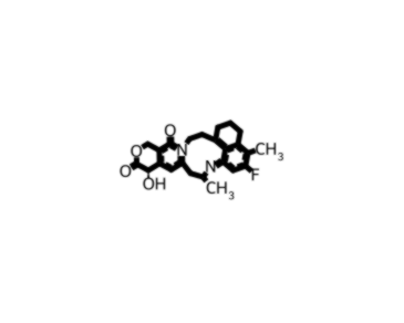 Cc1c(F)c/c2c3c1CCCC=3CCn1c(cc3c(c1=O)COC(=O)[C@H]3O)CC(C)/N=2